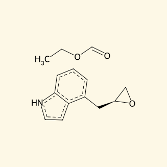 CCOC=O.c1cc(C[C@H]2CO2)c2cc[nH]c2c1